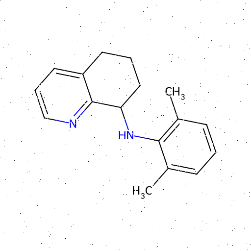 Cc1cccc(C)c1NC1CCCc2cccnc21